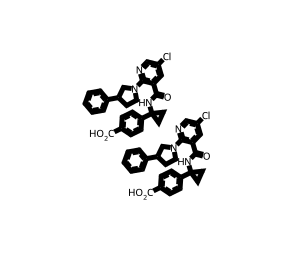 O=C(O)c1ccc(C2(NC(=O)c3cc(Cl)cnc3N3CCC(c4ccccc4)C3)CC2)cc1.O=C(O)c1ccc(C2(NC(=O)c3cc(Cl)cnc3N3CCC(c4ccccc4)C3)CC2)cc1